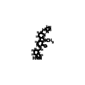 Cn1c2nc(Cn3cncn3)ccc2c2cnn(Cc3cccc4[nH]ncc34)c(=O)c21